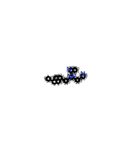 c1ccc(-c2ccc3ccc4c(-c5cccc(-c6cc(-c7cccc(-c8cccnc8)c7)nc(-c7cncc8ccccc78)n6)c5)ccc5ccc2c3c54)cc1